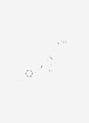 Cc1cccc(CC/C=C/[C@@H]2[C@H]3CC(CCCCC(N)=O)=C[C@H]3C[C@H]2O)c1